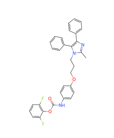 Cc1nc(-c2ccccc2)c(-c2ccccc2)n1CCCOc1ccc(NC(=O)Oc2c(F)cccc2F)cc1